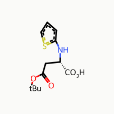 CC(C)(C)OC(=O)C[C@H](Nc1cccs1)C(=O)O